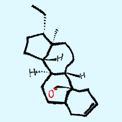 CC[C@H]1CC[C@H]2[C@@H]3CCC4CC=CC[C@@]4(C=O)[C@H]3CC[C@]12C